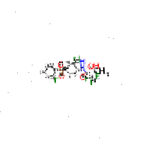 C[C@@](O)(C(=O)Nc1ccc(S(=O)(=O)c2ccccc2F)cc1Cl)C(F)(F)F